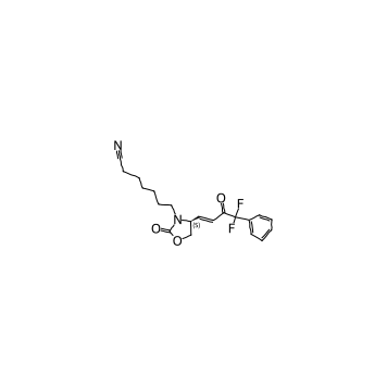 N#CCCCCCCN1C(=O)OC[C@@H]1C=CC(=O)C(F)(F)c1ccccc1